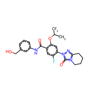 CC(Oc1cc(-n2nc3n(c2=O)CCCC3)c(F)cc1C(=O)Nc1cccc(CO)c1)C(F)(F)F